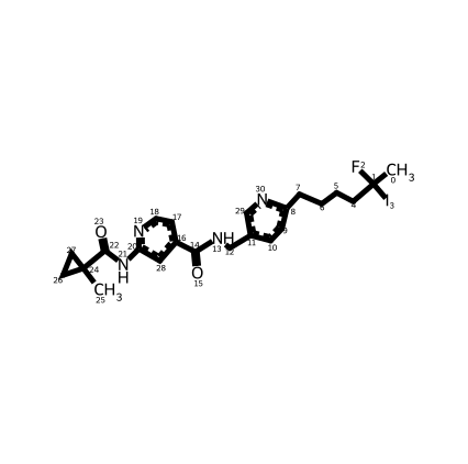 CC(F)(I)CCCCc1ccc(CNC(=O)c2ccnc(NC(=O)C3(C)CC3)c2)cn1